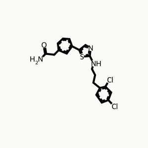 NC(=O)Cc1cccc(-c2cnc(NCCCc3ccc(Cl)cc3Cl)s2)c1